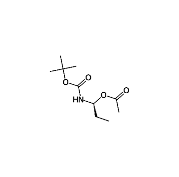 CC[C@@H](NC(=O)OC(C)(C)C)OC(C)=O